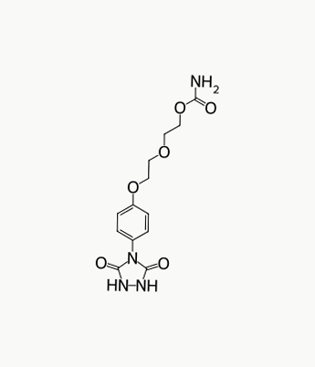 NC(=O)OCCOCCOc1ccc(-n2c(=O)[nH][nH]c2=O)cc1